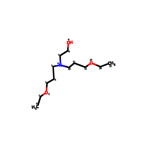 CCOCCCN(CCO)CCCOCC